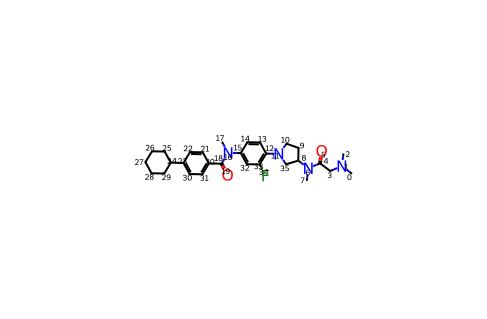 CN(C)CC(=O)N(C)C1CCN(c2ccc(N(C)C(=O)c3ccc(C4CCCCC4)cc3)cc2F)C1